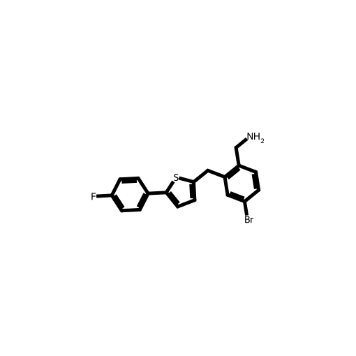 NCc1ccc(Br)cc1Cc1ccc(-c2ccc(F)cc2)s1